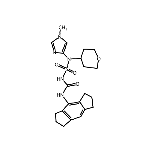 Cn1cnc(N(C2CCOCC2)S(=O)(=O)NC(=O)Nc2c3c(cc4c2CCC4)CCC3)c1